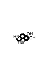 Br.Oc1ccc2c(c1O)CCC1NCCCC21